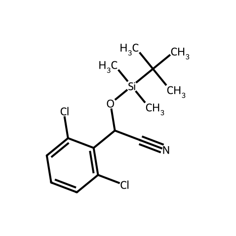 CC(C)(C)[Si](C)(C)OC(C#N)c1c(Cl)cccc1Cl